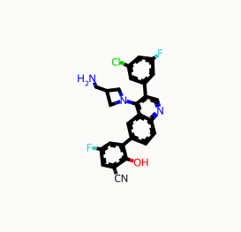 N#Cc1cc(F)cc(-c2ccc3ncc(-c4cc(F)cc(Cl)c4)c(N4CC(CN)C4)c3c2)c1O